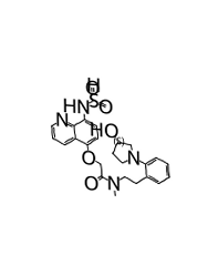 CN(CCc1ccccc1N1CC[C@H](O)C1)C(=O)COc1ccc(N[SH](=O)=O)c2ncccc12